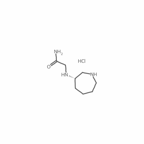 Cl.NC(=O)CN[C@H]1CCCCNC1